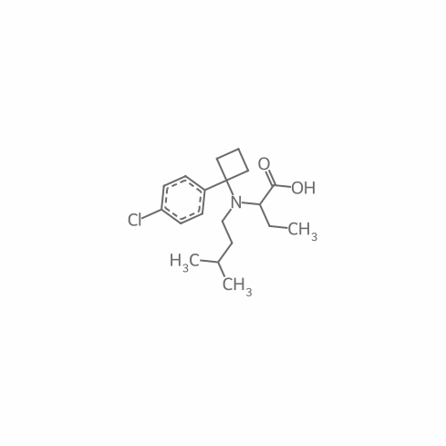 CCC(C(=O)O)N(CCC(C)C)C1(c2ccc(Cl)cc2)CCC1